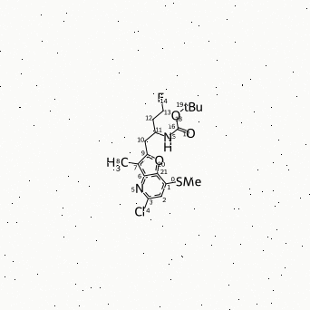 CSc1cc(Cl)nc2c(C)c(CC(CCF)NC(=O)OC(C)(C)C)oc12